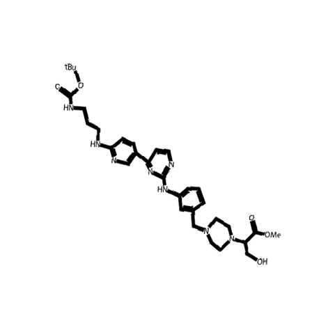 COC(=O)C(CO)N1CCN(Cc2cccc(Nc3nccc(-c4ccc(NCCCNC(=O)OC(C)(C)C)nc4)n3)c2)CC1